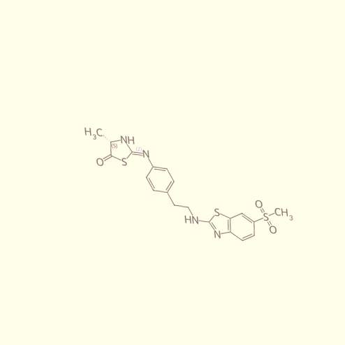 C[C@@H]1N/C(=N/c2ccc(CCNc3nc4ccc(S(C)(=O)=O)cc4s3)cc2)SC1=O